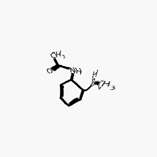 CBC1C=CC=CC1NC(C)=O